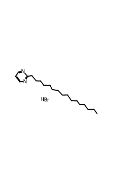 Br.CCCCCCCCCCCCCCCCc1ncccn1